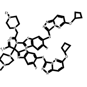 CCN1CCN(CC(=O)N(c2nc3cc(F)c(Sc4nnc5ccc(OC6CCC6)nn45)cc3s2)C(C(N)=O)(c2nc3cc(F)c(Sc4nnc5ccc(OC6CCC6)nn45)cc3s2)N2CCN(CC)CC2)CC1